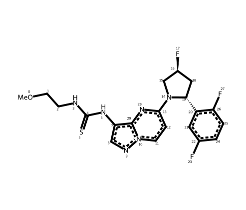 COCCNC(=S)Nc1cnn2ccc(N3C[C@@H](F)C[C@@H]3c3cc(F)ccc3F)nc12